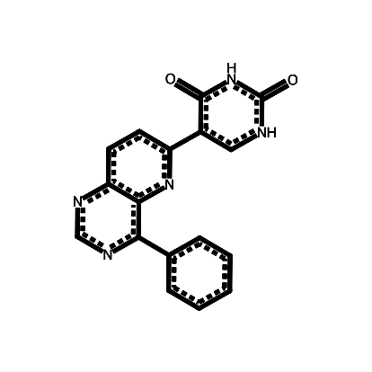 O=c1[nH]cc(-c2ccc3ncnc(-c4ccccc4)c3n2)c(=O)[nH]1